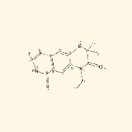 CCN1C(=O)C(C)(C)Oc2cc3nc(C)[nH]c(=O)c3cc21